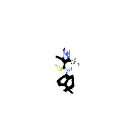 Cc1c(C(=S)Nc2cccc3c2CCC3(C)C)c(C(F)(F)F)nn1C